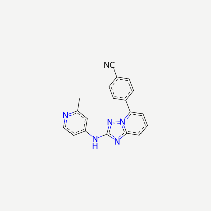 Cc1cc(Nc2nc3cccc(-c4ccc(C#N)cc4)n3n2)ccn1